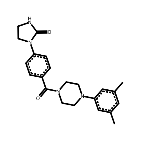 Cc1cc(C)cc(N2CCN(C(=O)c3ccc(N4CCNC4=O)cc3)CC2)c1